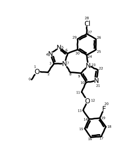 COCc1nnc2n1Cc1c(COCc3ccccc3F)ncn1-c1ccc(Cl)cc1-2